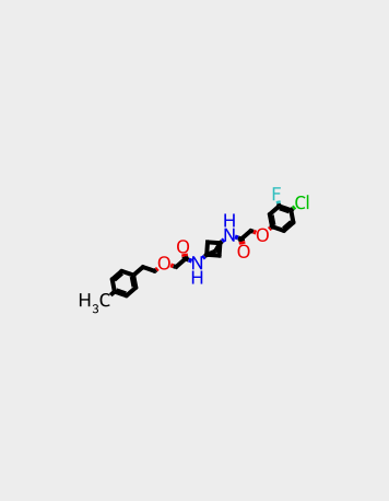 Cc1ccc(CCOCC(=O)NC23CC(NC(=O)COc4ccc(Cl)c(F)c4)(C2)C3)cc1